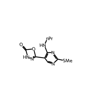 CCCNc1nc(SC)ncc1-c1n[nH]c(=O)o1